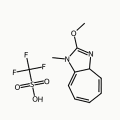 COC1=NC2C=CC=CC=C2N1C.O=S(=O)(O)C(F)(F)F